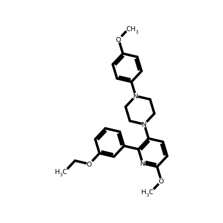 CCOc1cccc(-c2nc(OC)ccc2N2CCN(c3ccc(OC)cc3)CC2)c1